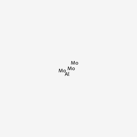 [Al].[Mo].[Mo].[Mo]